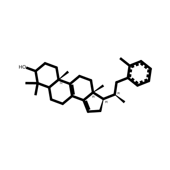 Cc1ccccc1C[C@@H](C)[C@H]1CC=C2C3=C(CC[C@@]21C)[C@@]1(C)CCC(O)C(C)(C)C1CC3